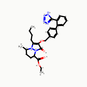 CCCCc1c(OCc2ccc(-c3ccccc3-c3nnn[nH]3)cc2)c(=O)n2n1C(C)CCC2C(=O)OCC